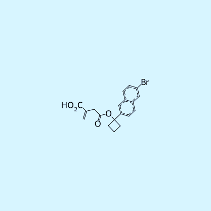 C=C(CC(=O)OC1(c2ccc3cc(Br)ccc3c2)CCC1)C(=O)O